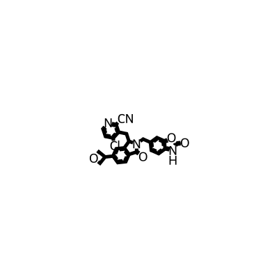 N#Cc1nccc(Cl)c1CC1c2cc(C3COC3)ccc2C(=O)N1Cc1ccc2[nH]c(=O)oc2c1